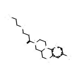 NCCOCCC(=O)N1CCN2c3ncc(C(F)(F)F)cc3OCC2C1